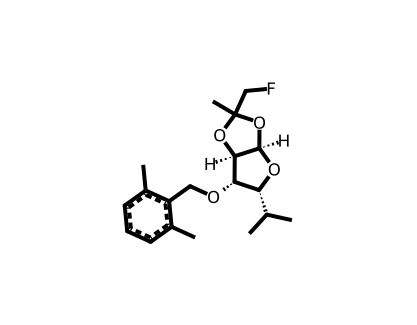 Cc1cccc(C)c1CO[C@@H]1[C@H]2OC(C)(CF)O[C@H]2O[C@@H]1C(C)C